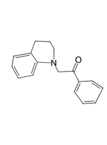 O=C(CN1CCCc2ccccc21)c1ccccc1